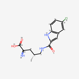 C[C@@H](CNC(=O)c1cc2cc(Cl)ccc2[nH]1)CC(=N)C(=O)O